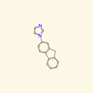 c1ccc2c(c1)Cc1cc(-n3ccnc3)ccc1-2